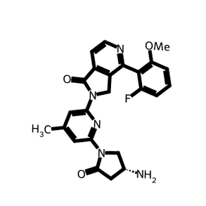 COc1cccc(F)c1-c1nccc2c1CN(c1cc(C)cc(N3C[C@H](N)CC3=O)n1)C2=O